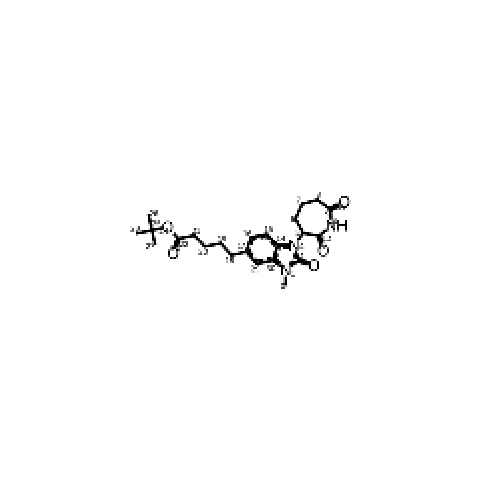 Cn1c(=O)n(C2CCCC(=O)NC2=O)c2ccc(CCCCC(=O)OC(C)(C)C)cc21